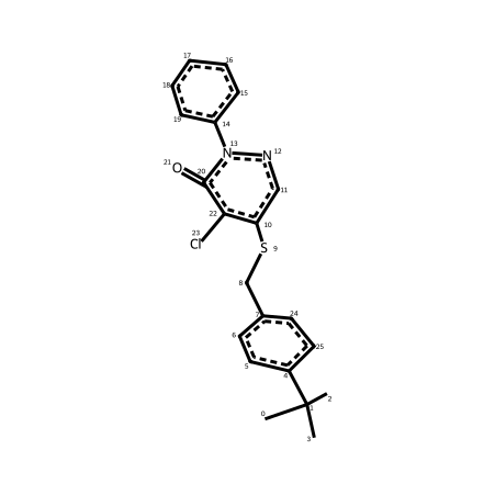 CC(C)(C)c1ccc(CSc2cnn(-c3ccccc3)c(=O)c2Cl)cc1